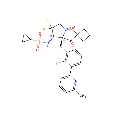 Cc1cccc(-c2cccc(C[C@]3(C(=O)C4(O)CCC4)NCC(F)(F)[C@@H]3NS(=O)(=O)C3CC3)c2F)n1